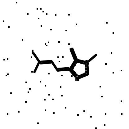 C=c1/c(=C\C=C(/C)I)ncn1C